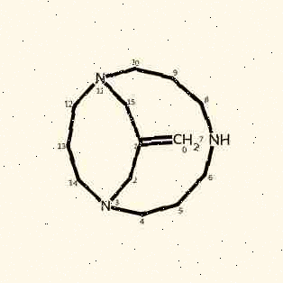 C=C1CN2CCCNCCCN(CCC2)C1